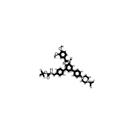 COc1ccc(-c2nc3c(-c4ccc(CNC(=O)OC(C)(C)C)cc4)cc(-c4ccc(N5CCN(C(C)C)CC5)cc4)cc3n2C)cc1OC